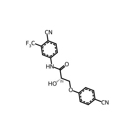 N#Cc1ccc(OC[C@H](O)C(=O)Nc2ccc(C#N)c(C(F)(F)F)c2)cc1